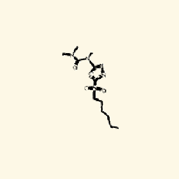 CCCCCCS(=O)(=O)c1nnc(N(C)C(=O)N(C)C)s1